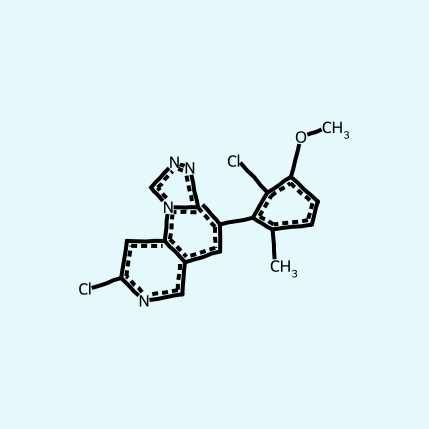 COc1ccc(C)c(-c2cc3cnc(Cl)cc3n3cnnc23)c1Cl